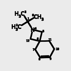 CC(C)(C)N1CC2(CC=CCC2)C1